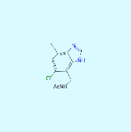 CC(=O)NCc1c(Cl)cc(C)c2nc[nH]c12